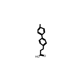 Cc1ccc(-c2ccc(CCC(=O)O)cc2)cc1